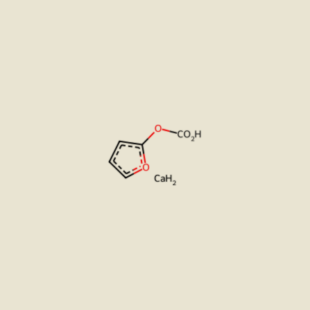 O=C(O)Oc1ccco1.[CaH2]